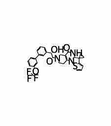 O=C(C(O)c1cccc(-c2cccc(OC(F)(F)F)c2)c1)N1CCc2nc(C3(c4cccs4)CC3)[nH]c(=O)c2C1